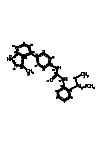 CCN(CC)c1ccccc1NC(=O)Nc1ccc(-c2ccnc3[nH]nc(C)c23)cc1